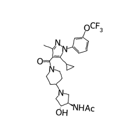 CC(=O)N[C@@H]1CN(C2CCN(C(=O)c3c(C)nn(-c4cccc(OC(F)(F)F)c4)c3C3CC3)CC2)C[C@H]1O